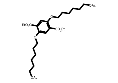 CCOC(=O)c1cc(OCCCCCCOC(C)=O)c(C(=O)OCC)cc1OCCCCCCOC(C)=O